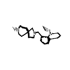 CCN1CCCc2cccc(CN3CCC4(CCNCC4)C3)c21